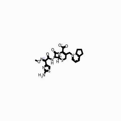 CO/N=C(/C(=O)N[C@@H]1C(=O)N2C(C(=O)[O-])=C(C[n+]3cccc4c3CCC4)CS[C@H]12)c1csc(N)n1